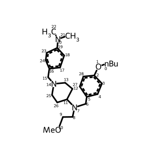 CCCCOc1ccc(CN(CCOC)C2CCN(Cc3ccc(N(C)C)cc3)CC2)cc1